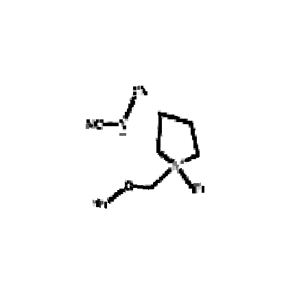 CCCOC[N+]1(C(C)C)CCCC1.N#CNC#N